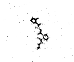 Cc1ccsc1C(=O)NCC(=O)N1CCC[C@H]1C(=O)NCC=O